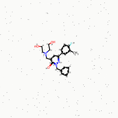 Cc1cc(-c2cc(CN(CCO)CCO)c(=O)n(Cc3ccccc3)n2)ccc1F